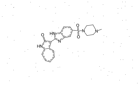 CN1CCN(S(=O)(=O)c2ccc3[nH]c(-c4c5cccccc-5[nH]c4=O)nc3c2)CC1